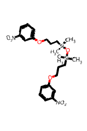 C[Si](C)(CCCOc1cccc([N+](=O)[O-])c1)O[Si](C)(C)CCCOc1cccc([N+](=O)[O-])c1